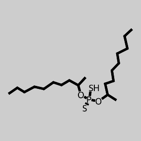 CCCCCCCCC(C)OP(=S)(S)OC(C)CCCCCCCC